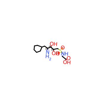 N[C@@H](CC1CCCCC1)[C@@H](O)[C@H](O)CS(=O)(=O)NCC(=O)O